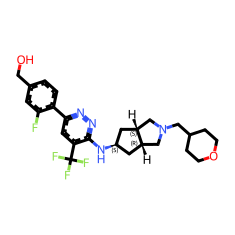 OCc1ccc(-c2cc(C(F)(F)F)c(N[C@H]3C[C@@H]4CN(CC5CCOCC5)C[C@@H]4C3)nn2)c(F)c1